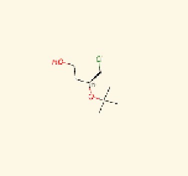 CC(C)(C)O[C@H](CCl)CCO